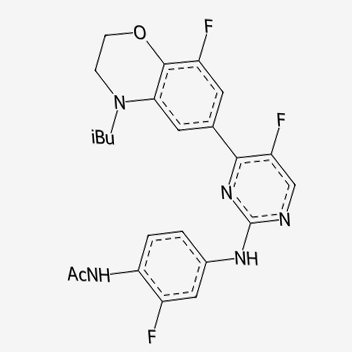 CCC(C)N1CCOc2c(F)cc(-c3nc(Nc4ccc(NC(C)=O)c(F)c4)ncc3F)cc21